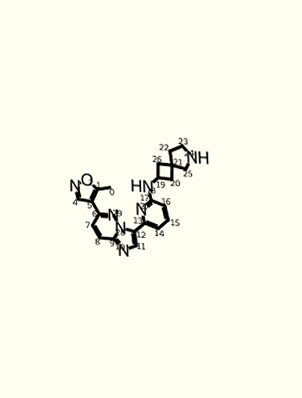 Cc1oncc1-c1ccc2ncc(-c3cccc(NC4CC5(CCNC5)C4)n3)n2n1